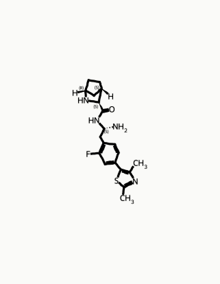 Cc1nc(C)c(-c2ccc(C[C@@H](N)NC(=O)[C@H]3N[C@@H]4CC[C@H]3C4)c(F)c2)s1